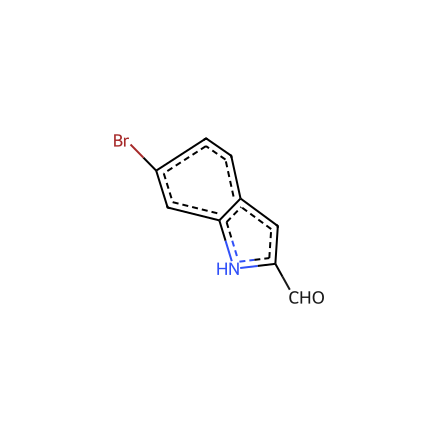 O=Cc1cc2ccc(Br)cc2[nH]1